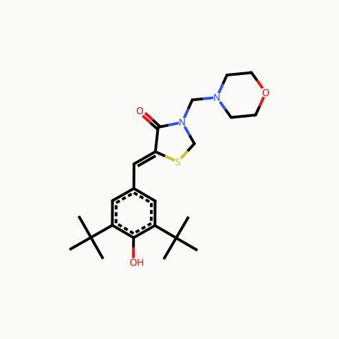 CC(C)(C)c1cc(/C=C2\SCN(CN3CCOCC3)C2=O)cc(C(C)(C)C)c1O